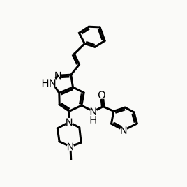 CN1CCN(c2cc3[nH]nc(C=Cc4ccccc4)c3cc2NC(=O)c2cccnc2)CC1